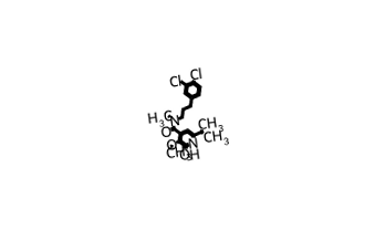 COc1c(C(=O)N(C)CCCc2ccc(Cl)c(Cl)c2)cc(C(C)C)[nH]c1=O